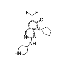 O=c1c(C(F)F)cc2cnc(NC3CCNCC3)nc2n1C1CCCC1